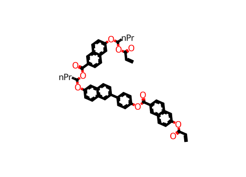 C=CC(=O)Oc1ccc2cc(C(=O)Oc3ccc(-c4ccc5cc(OC(CCC)OC(=O)c6ccc7cc(OC(CCC)OC(=O)C=C)ccc7c6)ccc5c4)cc3)ccc2c1